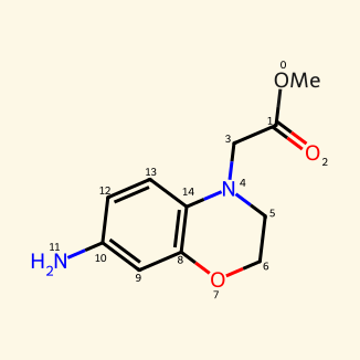 COC(=O)CN1CCOc2cc(N)ccc21